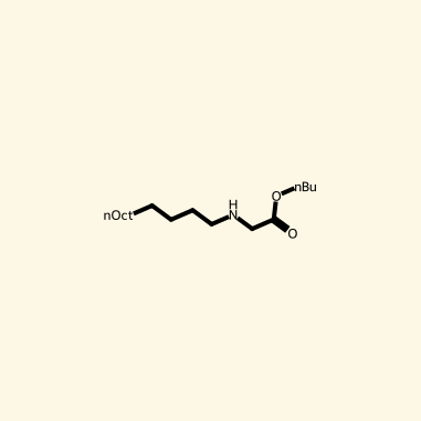 CCCCCCCCCCCCNCC(=O)OCCCC